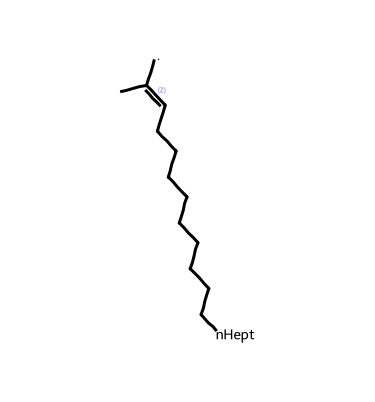 [CH2]/C(C)=C/CCCCCCCCCCCCCCCC